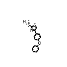 CSc1nc(-c2ccc(Oc3ccccc3)cc2)cs1